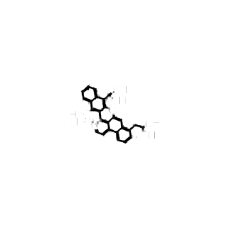 Cc1c2c(c(C(C)(C)C)c3ccccc13)Oc1cc3c(CC(C)C)cccc3c3cc[n+](C)c-2c13